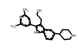 Cc1cc(-c2[nH]c3ccc(C4CCNCC4)cc3c2CCO)cc(C)n1